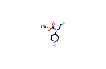 CC(C)(C)OC(=O)N(CCF)C1CCNCC1